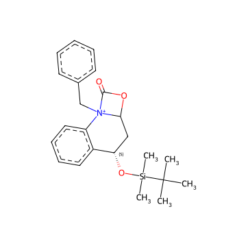 CC(C)(C)[Si](C)(C)O[C@H]1CC2OC(=O)[N+]2(Cc2ccccc2)c2ccccc21